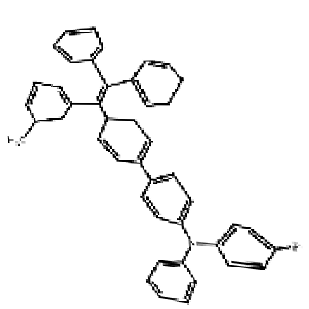 CC1C=CC=C(/C(=C(/C2=CCCC=C2)c2ccccc2)C2C=CC(c3ccc(N(c4ccccc4)c4ccc(C(C)C)cc4)cc3)=CC2)C1